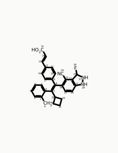 Cc1ccccc1/C(=C(\c1ccc(/C=C/C(=O)O)cc1)c1ccc2c(c1C#N)C(F)NN2)C1CCC1